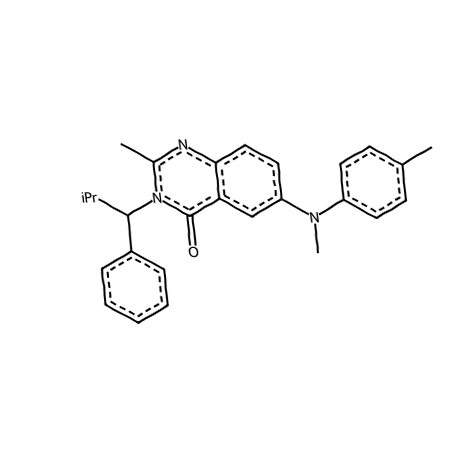 Cc1ccc(N(C)c2ccc3nc(C)n(C(c4ccccc4)C(C)C)c(=O)c3c2)cc1